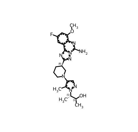 COc1cc(F)cc2c1nc(N)n1nc([C@@H]3CCCN(c4cnn([C@@H](C)[C@H](C)O)c4C)C3)nc21